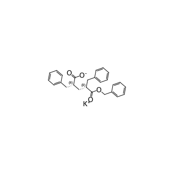 O=C([O-])[C@@H](Cc1ccccc1)C[C@H](Cc1ccccc1)C(=O)OCc1ccccc1.[K+]